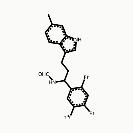 CCCc1cc(C(CCc2c[nH]c3cc(C)ccc23)NC=O)c(CC)cc1CC